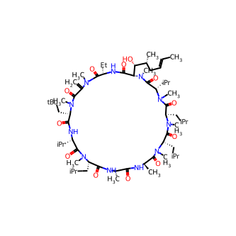 C=C1C(=O)N(C)[C@@H](CC(C)(C)C)C(=O)N[C@@H](C(C)C)C(=O)N(C)[C@@H](CC(C)C)C(=O)N[C@@H](C)C(=O)N[C@H](C)C(=O)N(C)[C@@H](CC(C)C)C(=O)N(C)[C@@H](CC(C)C)C(=O)N(C)[C@@H](C(C)C)C(=O)N(C)[C@@H]([C@H](O)[C@H](C)C/C=C/C)C(=O)N[C@@H](CC)C(=O)N1C